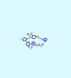 Cc1cc(OCCCn2cccn2)ccc1CCc1ccc(F)cc1-c1cccc(-n2ncc(C(=O)O)c2C(F)(F)F)n1